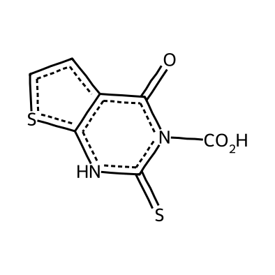 O=C(O)n1c(=S)[nH]c2sccc2c1=O